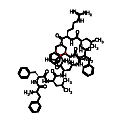 CC(C)C[C@@H](NC(=O)[C@@H](Cc1ccccc1)NC(=O)[C@H](N)Cc1ccccc1)C(=O)N[C@H](CCNC(=N)N)C(=O)NC1(C(=O)O)CCN(C(=O)[C@@H](CCCNC(=N)N)NC(=O)[C@@H](CC(C)C)NC(=O)[C@@H](Cc2ccccc2)NC(=O)[C@H](N)Cc2ccccc2)CC1